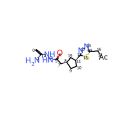 C=C(N)NNC(=O)C[C@@H]1CC[C@H](c2nnc(CC(C)=O)s2)C1